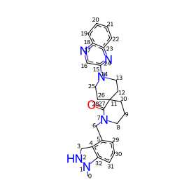 CN1NCc2c(CN3CCCC4(CCN(c5cnc6ccccc6n5)CC4)C3=O)cccc21